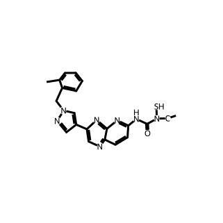 CCN(S)C(=O)Nc1ccc2ncc(-c3cnn(Cc4ccccc4C)c3)nc2n1